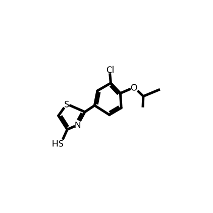 CC(C)Oc1ccc(-c2nc(S)cs2)cc1Cl